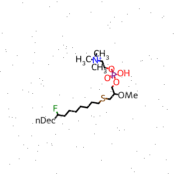 CCCCCCCCCCC(F)CCCCCCCSCC(COP(=O)(O)OCC[N+](C)(C)C)OC